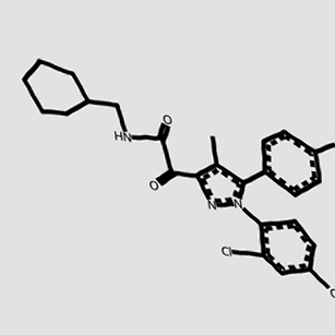 Cc1c(C(=O)C(=O)NCC2CCCCC2)nn(-c2ccc(Cl)cc2Cl)c1-c1ccc(Cl)cc1